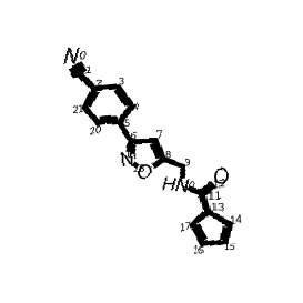 N#Cc1ccc(-c2cc(CNC(=O)C3C=CC=C3)on2)cc1